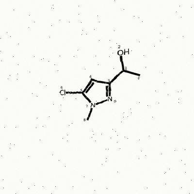 CC(O)c1cc(Cl)n(C)n1